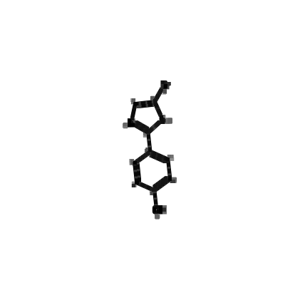 Oc1ccc(-c2ncc(Br)s2)cc1